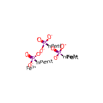 CCCCCP(=O)([O-])[O-].CCCCCP(=O)([O-])[O-].CCCCCP(=O)([O-])[O-].[Fe+3].[Fe+3]